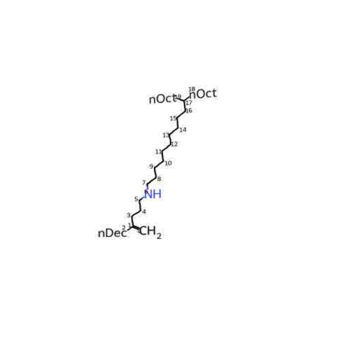 C=C(CCCCCCCCCC)CCCNCCCCCCCCCCC(CCCCCCCC)CCCCCCCC